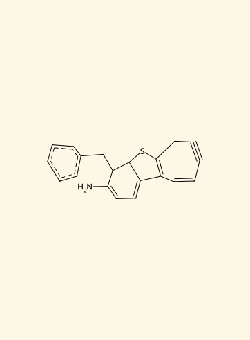 NC1=CC=C2C3=C(CC#CC=C3)SC2C1Cc1ccccc1